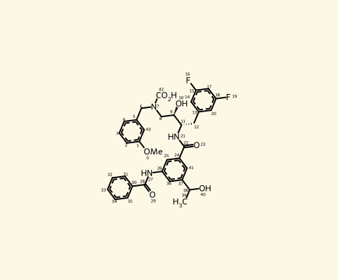 COc1cccc(CN(C[C@@H](O)[C@H](Cc2cc(F)cc(F)c2)NC(=O)c2cc(NC(=O)c3ccccc3)cc(C(C)O)c2)C(=O)O)c1